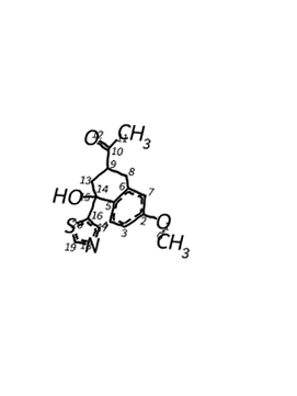 COc1ccc2c(c1)CC(C(C)=O)CC2(O)c1cncs1